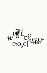 CCOC(=O)C(C)(C)CC(C)(CC(C)(Br)C(=O)O)C(=O)OCCOP(=O)(O)OCC[N+](C)(C)C